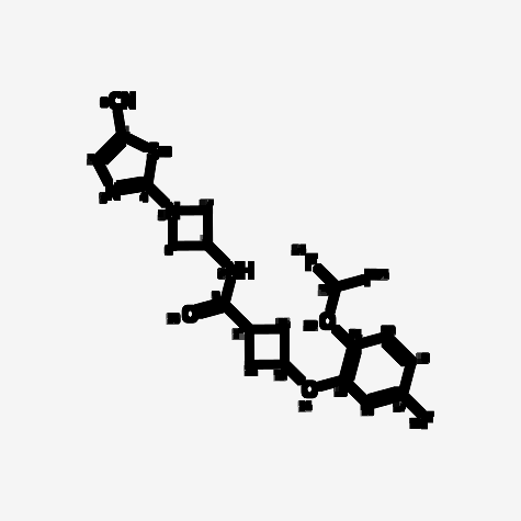 N#Cc1cnc(N2CC(NC(=O)C3CC(Oc4cc(F)ccc4OC(F)F)C3)C2)s1